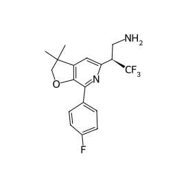 CC1(C)COc2c1cc([C@@H](CN)C(F)(F)F)nc2-c1ccc(F)cc1